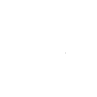 [CH2]C(C)P=CC